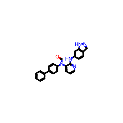 O=CN(c1ccc(-c2ccccc2)cc1)c1cccnc1Nc1ccc2cn[nH]c2c1